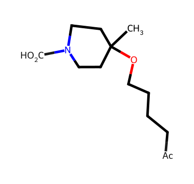 CC(=O)CCCCOC1(C)CCN(C(=O)O)CC1